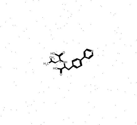 CC(C)C[C@H](NC(Cc1ccc(-c2ccncc2)cc1)C(=O)O)C(=O)O